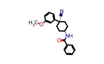 COc1cccc([C@]2(C#N)CC[C@@H](NC(=O)c3ccccc3)CC2)c1